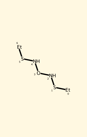 CCSNONSCC